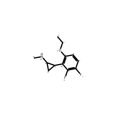 CCOc1ccc(F)c(F)c1C1CC1NC